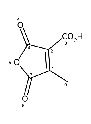 CC1=C(C(=O)O)C(=O)OC1=O